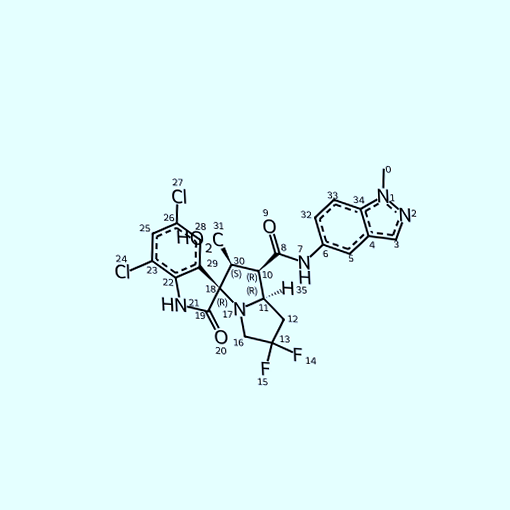 Cn1ncc2cc(NC(=O)[C@H]3[C@H]4CC(F)(F)CN4[C@]4(C(=O)Nc5c(Cl)cc(Cl)cc54)[C@H]3C(=O)O)ccc21